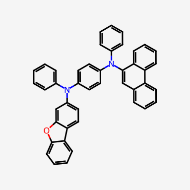 c1ccc(N(c2ccc(N(c3ccccc3)c3cc4ccccc4c4ccccc34)cc2)c2ccc3c(c2)oc2ccccc23)cc1